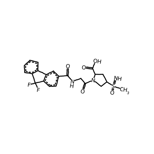 CS(=N)(=O)C1CC(C(=O)O)N(C(=O)CNC(=O)c2ccc3c(c2)-c2ccccc2C3(F)F)C1